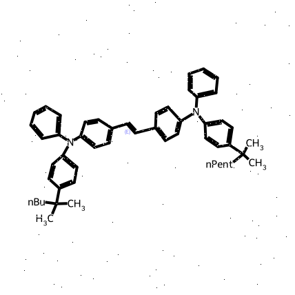 CCCCCC(C)(C)c1ccc(N(c2ccccc2)c2ccc(/C=C/c3ccc(N(c4ccccc4)c4ccc(C(C)(C)CCCC)cc4)cc3)cc2)cc1